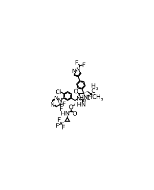 CC(C)(C)C[C@]1(c2ccc(-c3cnn(C(F)F)c3)cc2)NC(=N)N([C@H](COC(=O)N[C@H]2C[C@@H]2C(F)(F)F)c2ccc(Cl)c(N3N=CN=CC3(F)F)c2)C1=O